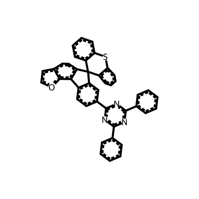 c1ccc(-c2nc(-c3ccccc3)nc(-c3ccc4c(c3)C3(c5ccccc5Sc5ccccc53)c3ccc5ccoc5c3-4)n2)cc1